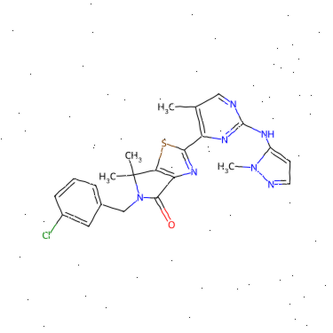 Cc1cnc(Nc2ccnn2C)nc1-c1nc2c(s1)C(C)(C)N(Cc1cccc(Cl)c1)C2=O